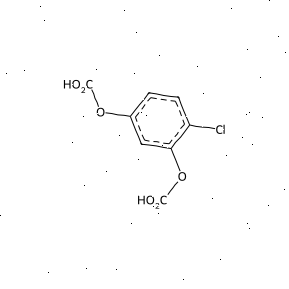 O=C(O)Oc1ccc(Cl)c(OC(=O)O)c1